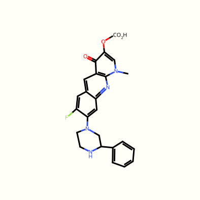 Cn1cc(OC(=O)O)c(=O)c2cc3cc(F)c(N4CCNC(c5ccccc5)C4)cc3nc21